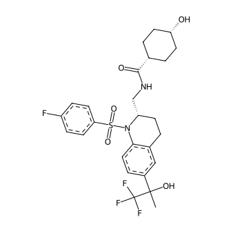 CC(O)(c1ccc2c(c1)CC[C@@H](CNC(=O)[C@H]1CC[C@@H](O)CC1)N2S(=O)(=O)c1ccc(F)cc1)C(F)(F)F